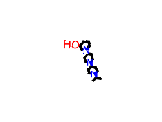 CC(C)N1CCC(N2CCC(N3CCCC(O)C3)CC2)CC1